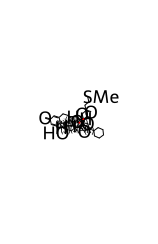 CSCCC(=O)OCC(=O)[C@@]12O[C@H](C3CCCCC3)O[C@@H]1C[C@H]1[C@@H]3CCC4=CC(=O)C=C[C@]4(C)[C@H]3[C@@H](O)C[C@@]12C